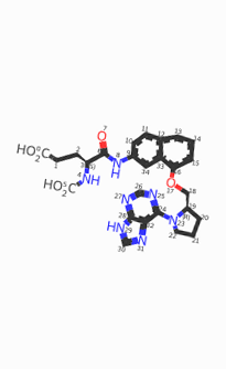 O=C(O)CC[C@H](NC(=O)O)C(=O)Nc1ccc2cccc(OC[C@H]3CCCN3c3ncnc4[nH]cnc34)c2c1